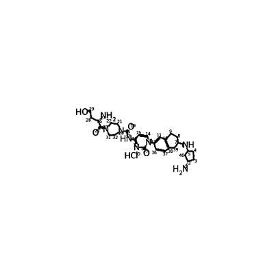 Cl.N[C@H]1CC[C@H](NC2CCc3cc(-n4ccc(NC(=O)N5CCN(C(=O)[C@@H](N)CCO)CC5)nc4=O)ccc3C2)C1